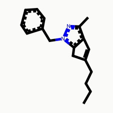 CCCCC1=Cc2c(C)nn(Cc3ccccc3)c2C1